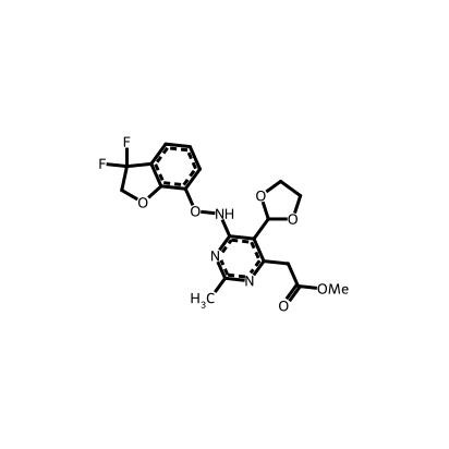 COC(=O)Cc1nc(C)nc(NOc2cccc3c2OCC3(F)F)c1C1OCCO1